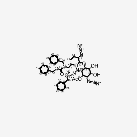 CC(=O)O[C@@H]1[C@@H](N=[N+]=[N-])[C@H](O)[C@@H](O)[C@H](O[C@H]2O[C@H]([C@H](COCc3ccccc3)N(Cc3ccccc3)C(=O)OCc3ccccc3)CC[C@H]2N=[N+]=[N-])[C@H]1N=[N+]=[N-]